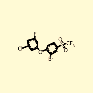 O=S(=O)(c1[c]c(Br)c(Oc2cc(F)cc(Cl)c2)cc1)C(F)(F)F